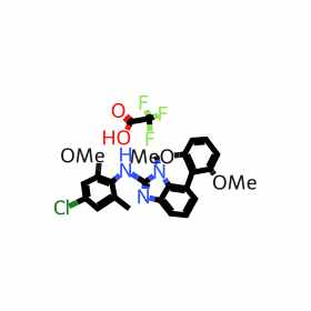 COc1cc(Cl)cc(C)c1Nc1nc2cccc(-c3c(OC)cccc3OC)c2n1C.O=C(O)C(F)(F)F